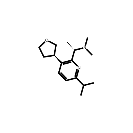 CC(C)c1ccc([C@H]2CCOC2)c([C@H](C)N(C)C)n1